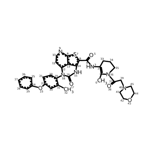 CC1=C(NC(=O)c2sc3nccc4c3c2NC(=O)N4c2ccc(Oc3ccccc3)cc2C)CCCN1C(=O)CN1CCOCC1